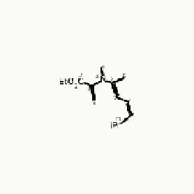 C=C(C(=O)OCC)N(C)/C(C)=C/C=C\C(C)C